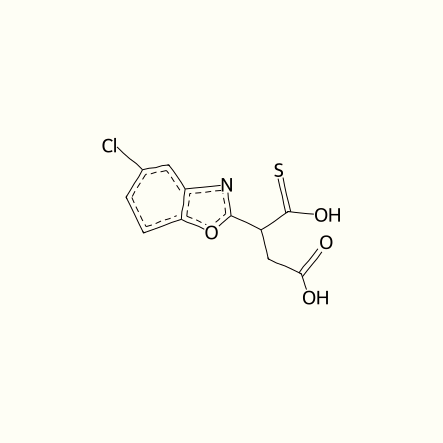 O=C(O)CC(C(O)=S)c1nc2cc(Cl)ccc2o1